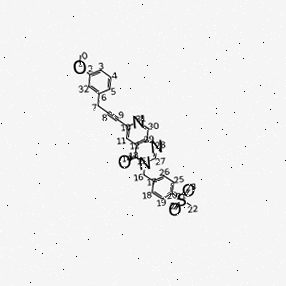 COc1cccc(CC#Cc2cc3c(=O)n(Cc4ccc(S(C)(=O)=O)cc4)cnc3cn2)c1